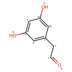 O=CCc1cc(O)cc(O)c1